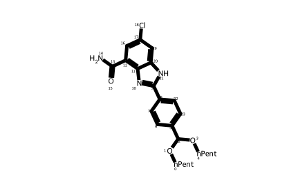 CCCCCOC(OCCCCC)c1ccc(-c2nc3c(C(N)=O)cc(Cl)cc3[nH]2)cc1